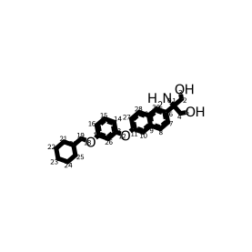 NC(CO)(CO)c1ccc2cc(Oc3cccc(OCC4CCCCC4)c3)ccc2c1